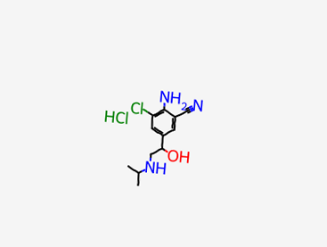 CC(C)NCC(O)c1cc(Cl)c(N)c(C#N)c1.Cl